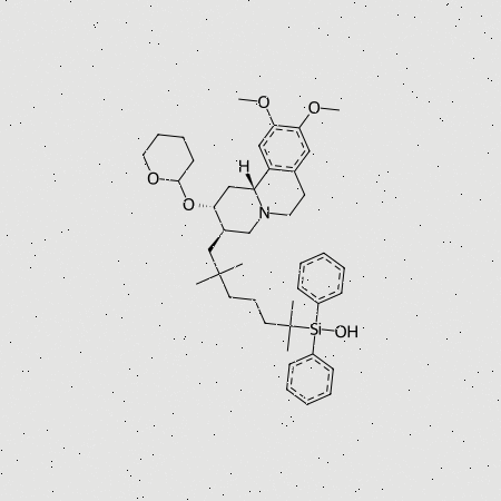 COc1cc2c(cc1OC)[C@H]1C[C@@H](OC3CCCCO3)[C@H](CC(C)(C)CCCC(C)(C)[Si](O)(c3ccccc3)c3ccccc3)CN1CC2